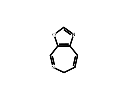 C1=Cc2ncoc2C=NC1